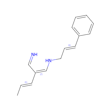 C/C=C/C(C=N)=C/NC/C=C/c1ccccc1